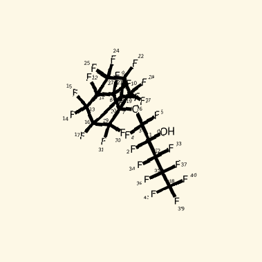 OC(F)(C(F)(F)OC12C(F)(F)C3(F)C(F)(F)C(F)(C(F)(F)C(F)(C3(F)F)C1(F)F)C2(F)F)C(F)(F)C(F)(F)C(F)(F)F